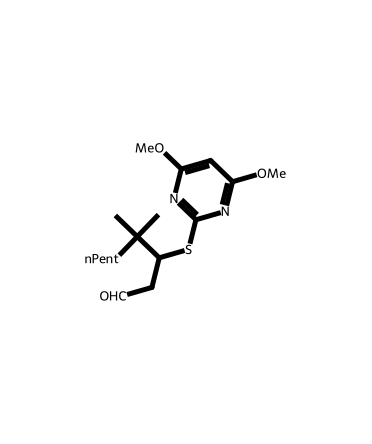 CCCCCC(C)(C)C(CC=O)Sc1nc(OC)cc(OC)n1